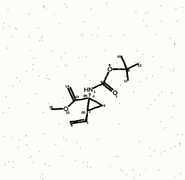 C=C[C@@H]1C[C@]1(NC(=O)OC(C)(C)C)C(=C)OC